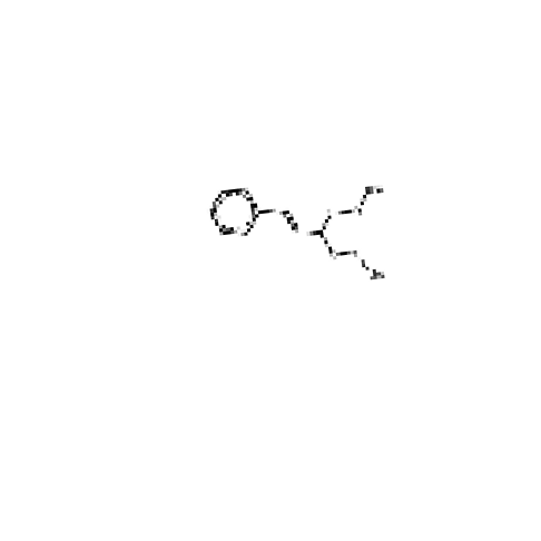 CC(C)(C)OOC(C=Cc1ccccc1)OOC(C)(C)C